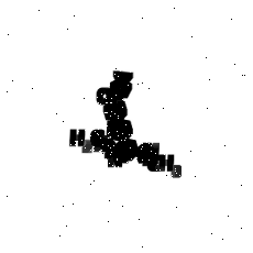 C=NCc1cnn2cc(-c3cnn(C)c3)cc(-c3ccc(N4CCN(C(=O)N5CCC6(CC6)C5)CC4)nc3)c12